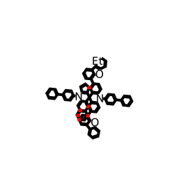 C=C/C=C1\C(=C/c2ccccc2)C2(C3=C(C=CC3)N1c1ccc(-c3ccccc3)cc1)c1cc(-c3cccc4c(CC)c(/C=C\C)oc34)ccc1N(c1ccc(-c3ccccc3)cc1)c1ccc(-c3cccc4c3oc3ccccc34)cc12